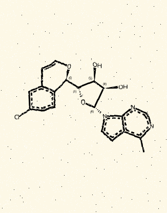 Cc1ncnc2c1ccn2[C@@H]1O[C@H]([C@@H]2OC=Cc3cc(Cl)ccc32)[C@@H](O)[C@H]1O